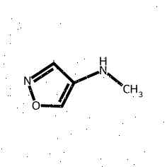 CNc1[c]noc1